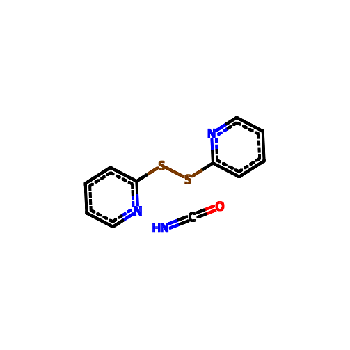 N=C=O.c1ccc(SSc2ccccn2)nc1